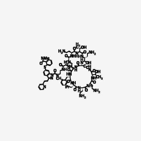 CNC(=O)c1ccccc1Sc1ccc2c(/C=C/c3ccccn3)nn(C(=O)N(C)CCNC(=O)[C@H](N)CCC(=O)N[C@@H](CCN)C(=O)NC(C(=O)N[C@H](CCN)[C@@H](O)N[C@@H]3CCNC(=O)C(C(C)O)NC(=O)C(CCN)NC(=O)[C@H](CCN)NC(=O)[C@H](CC(C)C)NC(=O)[C@H](Cc4ccccc4)NC(=O)C(CCN)NC3=O)[C@H](C)O)c2c1